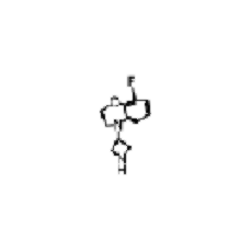 Fc1cccc2c1OCCN2C1CNC1